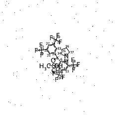 C[Si](C)(C)OC(c1cc(C(F)(F)F)cc(C(F)(F)F)c1)(c1cc(C(F)(F)F)cc(C(F)(F)F)c1)[C@@H]1CCCN1